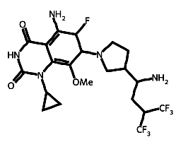 COC1=c2c(c(=O)[nH]c(=O)n2C2CC2)=C(N)C(F)C1N1CCC(C(N)CC(C(F)(F)F)C(F)(F)F)C1